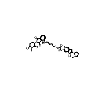 CN1CCC[C@@H]1c1cc2cnc(NC(=O)COCCCCNc3cccc4c3C(=O)N(C3CCC(=O)NC3=O)C4=O)cc2[nH]1